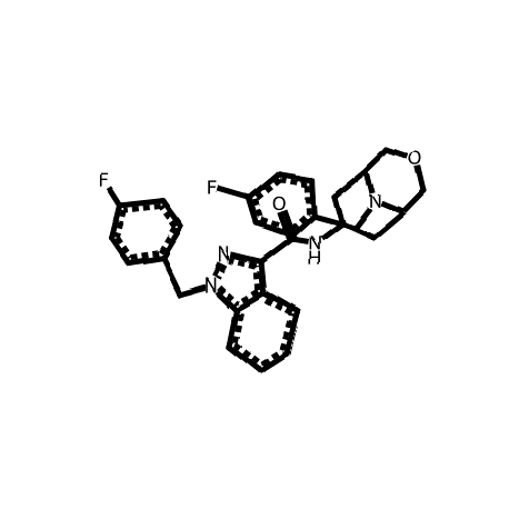 O=C(NC1CC2COCC(C1)N2Cc1ccc(F)cc1)c1nn(Cc2ccc(F)cc2)c2ccccc12